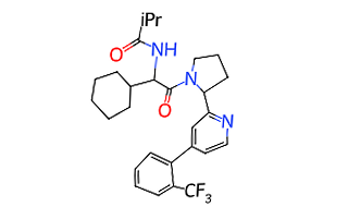 CC(C)C(=O)NC(C(=O)N1CCCC1c1cc(-c2ccccc2C(F)(F)F)ccn1)C1CCCCC1